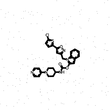 O=C(NC1CCN(c2ccncc2)CC1)Oc1cc2ccccc2n1Cc1cc(-c2ccc(Cl)s2)on1